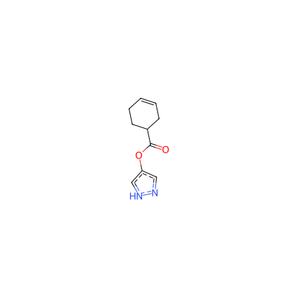 O=C(Oc1cn[nH]c1)C1CC=CCC1